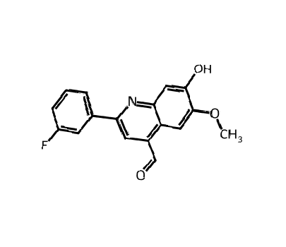 COc1cc2c(C=O)cc(-c3cccc(F)c3)nc2cc1O